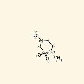 CN1CCN(C)S(=O)(=O)C1